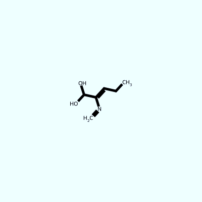 C=N/C(=C\CC)C(O)O